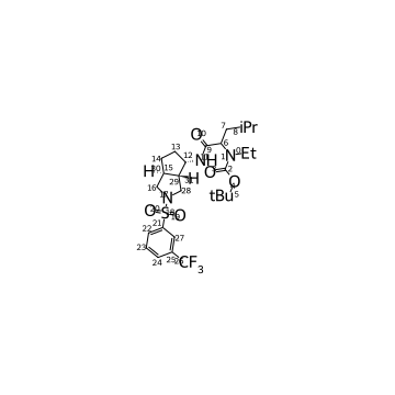 CCN(C(=O)OC(C)(C)C)C(CC(C)C)C(=O)N[C@H]1CC[C@@H]2CN(S(=O)(=O)c3cccc(C(F)(F)F)c3)C[C@H]21